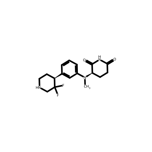 CN(c1cccc([C@@H]2CCNCC2(F)F)c1)[C@@H]1CCC(=O)NC1=O